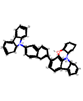 c1ccc2c(c1)Oc1c(-c3ccc4cc(-n5c6ccccc6c6ccccc65)ccc4c3)ccc3c4ccccc4n-2c13